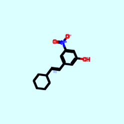 O=[N+]([O-])c1cc(O)cc(/C=C/C2CCCCC2)c1